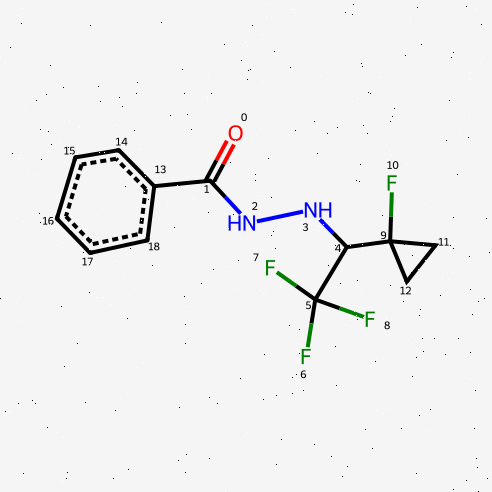 O=C(NNC(C(F)(F)F)C1(F)CC1)c1ccccc1